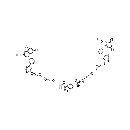 CN1Cc2c(Cl)cc(Cl)cc2[C@H](c2cccc(-c3cc(OCCOCCOCCOCCNC(=O)Nc4ccc(NC(=O)NCCOCCOCCOCCOc5cc(-c6cccc([C@@H]7CN(C)Cc8c(Cl)cc(Cl)cc87)c6)ncn5)cc4)ncn3)c2)C1.Cl